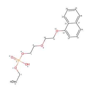 CCCCCCCCCCCOP(=O)(O)OCCOCCOc1cccc2ccccc12